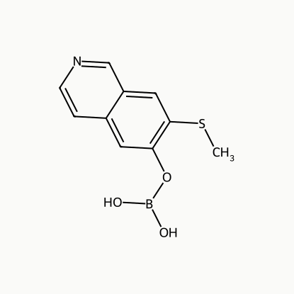 CSc1cc2cnccc2cc1OB(O)O